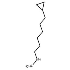 O=[C]NCCCCCCC1CC1